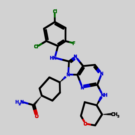 C[C@@H]1COCC[C@H]1Nc1ncc2nc(Nc3c(F)cc(Cl)cc3Cl)n([C@H]3CC[C@@H](C(N)=O)CC3)c2n1